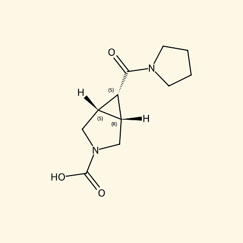 O=C(O)N1C[C@@H]2[C@H](C1)[C@@H]2C(=O)N1CCCC1